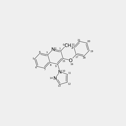 Cc1nc2ccccc2c(-n2cccn2)c1Oc1ccccc1